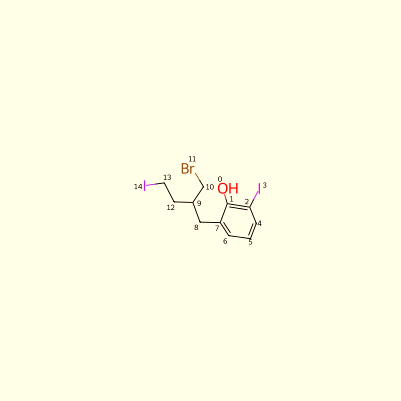 Oc1c(I)cccc1CC(CBr)CCI